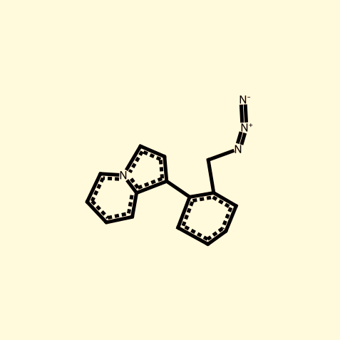 [N-]=[N+]=NCc1ccccc1-c1ccn2ccccc12